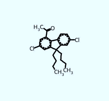 CCCCC1(CCCC)c2cc(Cl)ccc2-c2c(C(C)=O)cc(Cl)cc21